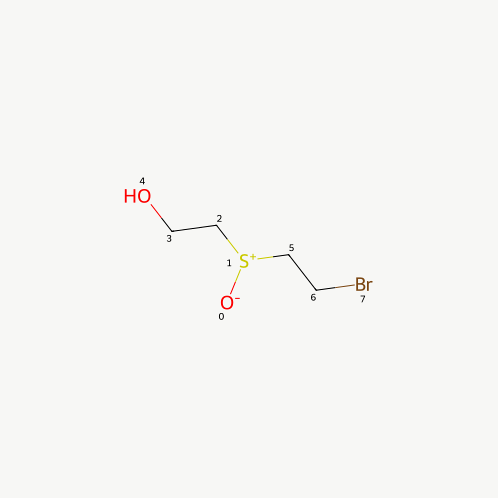 [O-][S+](CCO)CCBr